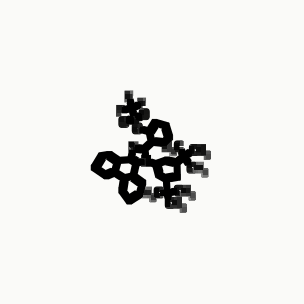 CC(C)(C)c1cc(-n2c(-c3ccccc3OS(=O)(=O)C(F)(F)F)nc3c4ccccc4c4ccccc4c32)cc(C(C)(C)C)c1